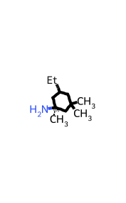 CCC1CC(C)(C)C[C@@](C)(N)C1